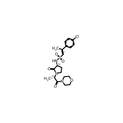 C/C(=C\S(=O)(=O)N[C@H]1CCN([C@@H](C)C(=O)N2CCOCC2)C1=O)c1ccc(Cl)cc1